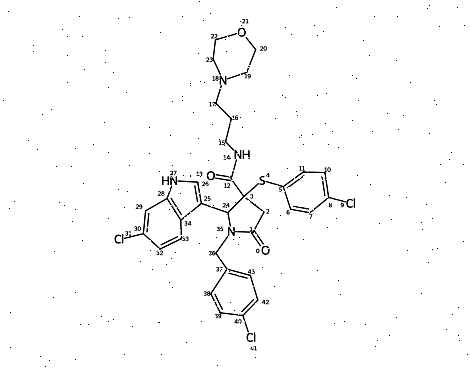 O=C1CC(Sc2ccc(Cl)cc2)(C(=O)NCCCN2CCOCC2)C(c2c[nH]c3cc(Cl)ccc23)N1Cc1ccc(Cl)cc1